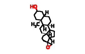 C[C@]12CC[C@@H](O)C[C@@H]1CC[C@@H]1[C@@H]2CC[C@@]23CCC[C@]4(CO4)[C@H]2CC[C@@H]13